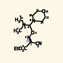 CCOC(=O)/C(C#N)=N/OC(N(C)C)N1CCOCC1